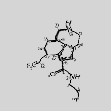 O=C(NCCF)c1cn2c3c1C(CC(F)(F)F)CC=C3CNCC2